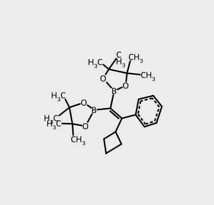 CC1(C)OB(C(B2OC(C)(C)C(C)(C)O2)=C(c2ccccc2)C2CCC2)OC1(C)C